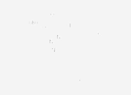 CCCCOC(=O)Cn1nnc(-c2ccc(Cl)cc2)c1-c1ccc(Cl)cc1Cl